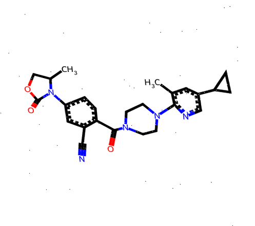 Cc1cc(C2CC2)cnc1N1CCN(C(=O)c2ccc(N3C(=O)OCC3C)cc2C#N)CC1